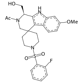 COc1ccc2c3c([nH]c2c1)[C@H](CO)N(C(C)=O)CC31CCN(S(=O)(=O)c2ccccc2F)CC1